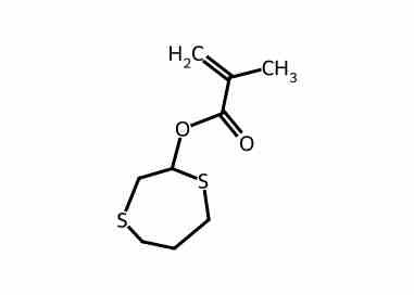 C=C(C)C(=O)OC1CSCCCS1